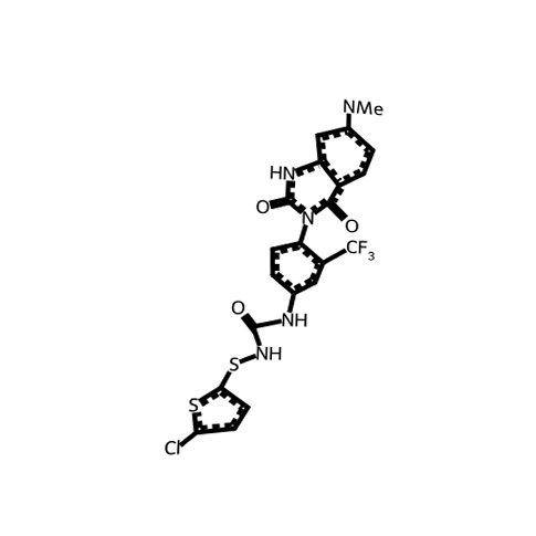 CNc1ccc2c(=O)n(-c3ccc(NC(=O)NSc4ccc(Cl)s4)cc3C(F)(F)F)c(=O)[nH]c2c1